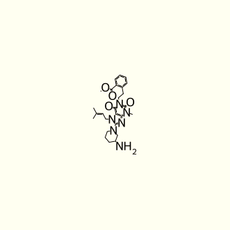 COC(=O)c1ccccc1CCn1c(=O)c2c(nc(N3CCCC(N)C3)n2CC=C(C)C)n(C)c1=O